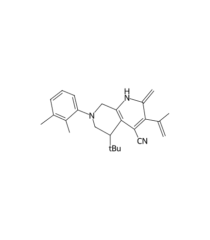 C=C(C)C1=C(C#N)C2=C(CN(c3cccc(C)c3C)CC2C(C)(C)C)NC1=C